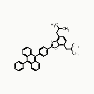 CC(C)Cc1ccc(CC(C)C)c2oc(-c3ccc(-c4c5ccccc5c(-c5ccccc5)c5ccccc45)cc3)nc12